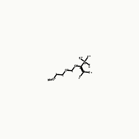 COCCOCOC(=C(F)F)[B-](F)(F)F